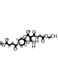 CCOC(=O)CNC(=O)C1=C(O)OC2(CCN(C(=O)CCC(=O)OC)CC2)OC1=O